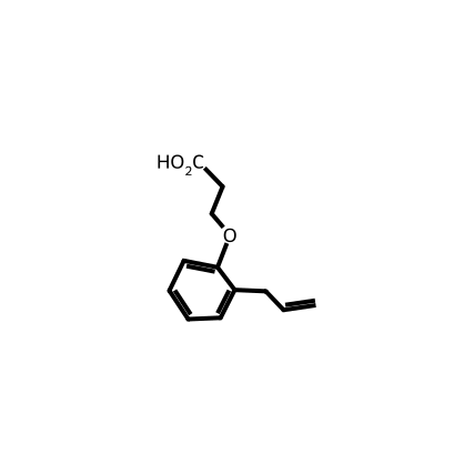 C=CCc1ccccc1OCCC(=O)O